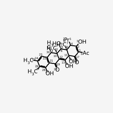 CC(=O)C1=C(O)C(C(C)C)[C@@]2(C)[C@H](O)[C@]3(C)C(=C(O)[C@@]2(O)C1=O)C(=O)c1c(cc(C)c(C)c1O)[C@H]3C